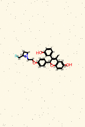 CC1=C(c2cccc(O)c2)C(c2ccc(OCCN3CCC3CF)cc2)Oc2ccc(O)cc21